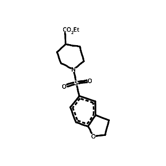 CCOC(=O)C1CCN(S(=O)(=O)c2ccc3c(c2)CCO3)CC1